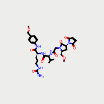 COCc1ccc(NC(=O)[C@H](CCCNC(N)=O)NC(=O)[C@@H](NC(=O)CN2C(=O)[C@@H](N3C(=O)C=CC3=O)C[C@H]2COC)C(C)C)cc1